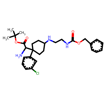 CC(C)(C)OC(=O)C(N)C1(c2cccc(Cl)c2)CCC(NCCNC(=O)OCc2ccccc2)CC1